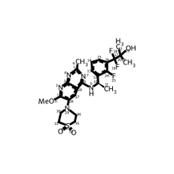 COc1nc2nc(C)nc(N[C@H](C)c3cccc(C(F)(F)C(C)(C)O)c3F)c2cc1N1CCS(=O)(=O)CC1